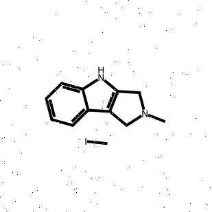 CI.CN1Cc2[nH]c3ccccc3c2C1